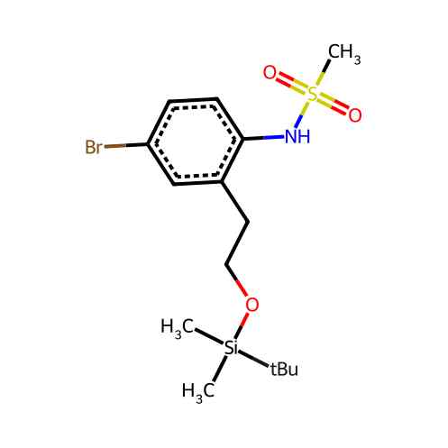 CC(C)(C)[Si](C)(C)OCCc1cc(Br)ccc1NS(C)(=O)=O